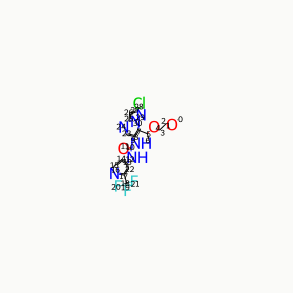 COCCOC(C)c1c(NC(=O)Nc2ccnc(C(F)(F)F)c2)cnc2cc(Cl)nn12